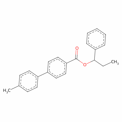 CCC(OC(=O)c1ccc(-c2ccc(C)cc2)cc1)c1ccccc1